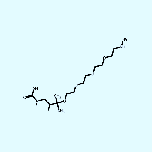 CC(C)(C)NCCOCCOCCOCCOC(C)(C)C(F)CNC(=O)S